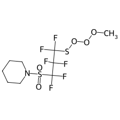 COOOSC(F)(F)C(F)(F)C(F)(F)S(=O)(=O)N1CCCCC1